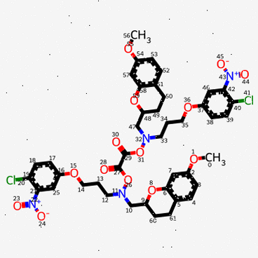 COc1ccc2c(c1)OC(CN(CCCOc1ccc(Cl)c([N+](=O)[O-])c1)OC(=O)C(=O)ON(CCCOc1ccc(Cl)c([N+](=O)[O-])c1)CC1CCc3ccc(OC)cc3O1)CC2